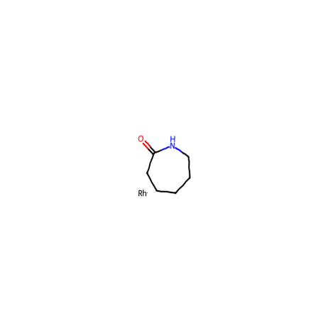 O=C1CCCCCN1.[Rh]